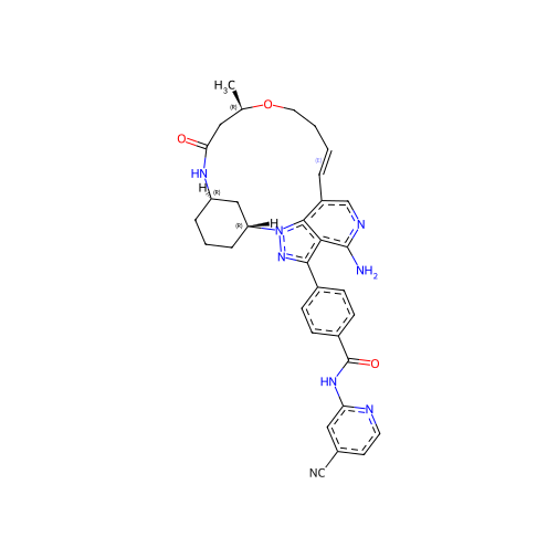 C[C@@H]1CC(=O)N[C@@H]2CCC[C@H](C2)n2nc(-c3ccc(C(=O)Nc4cc(C#N)ccn4)cc3)c3c(N)ncc(c32)/C=C/CCO1